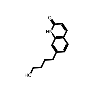 O=c1ccc2ccc(CCCCO)cc2[nH]1